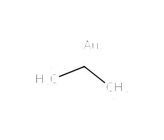 CCC.[Au]